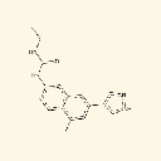 CCNC(=O)Nc1cc2cc(-c3cn[nH]c3)cc(C)c2cn1